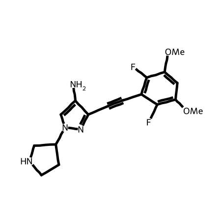 COc1cc(OC)c(F)c(C#Cc2nn(C3CCNC3)cc2N)c1F